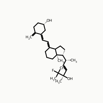 C=C1CC[C@H](O)CC1=CC=C1CCC[C@@]2(C)C1CC[C@@H]2[C@H](C)/C=C/[C@@](C)(O)C(C)(C)F